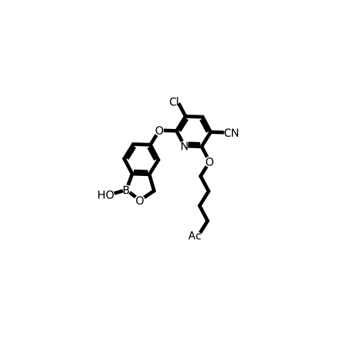 CC(=O)CCCCOc1nc(Oc2ccc3c(c2)COB3O)c(Cl)cc1C#N